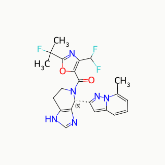 Cc1cccc2cc([C@@H]3c4nc[nH]c4CCN3C(=O)c3oc(C(C)(C)F)nc3C(F)F)nn12